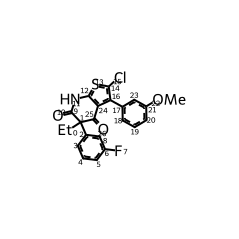 CCC1(c2cccc(F)c2)C(=O)Nc2sc(Cl)c(-c3cccc(OC)c3)c2C1=O